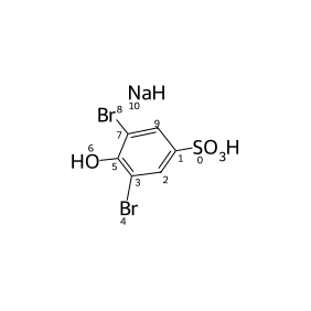 O=S(=O)(O)c1cc(Br)c(O)c(Br)c1.[NaH]